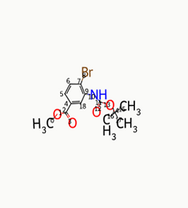 COC(=O)c1ccc(Br)c(NC(=O)OC(C)(C)C)c1